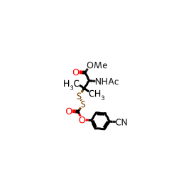 COC(=O)C(NC(C)=O)C(C)(C)SSC(=O)Oc1ccc(C#N)cc1